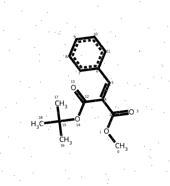 COC(=O)C(=Cc1ccccc1)C(=O)OC(C)(C)C